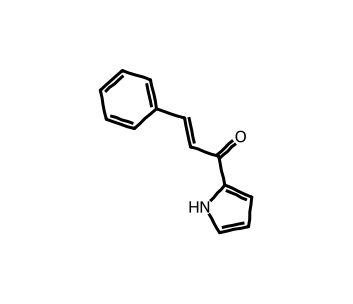 O=C(/C=C/c1ccccc1)c1ccc[nH]1